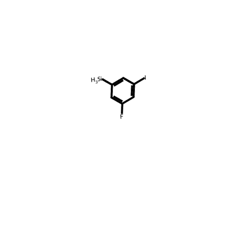 Fc1cc([SiH3])cc(I)c1